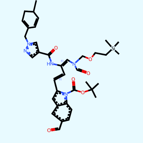 CC1C=CC(Cn2cc(C(=O)NC(/C=C/c3cc4cc(C=O)ccc4n3C(=O)OC(C)(C)C)=C/N(C=O)COCC[Si](C)(C)C)cn2)=CC1